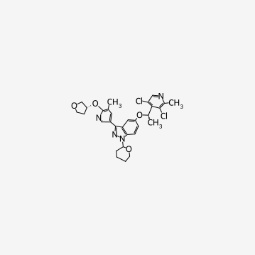 Cc1cc(-c2nn(C3CCCCO3)c3ccc(O[C@H](C)c4c(Cl)cnc(C)c4Cl)cc23)cnc1O[C@@H]1CCOC1